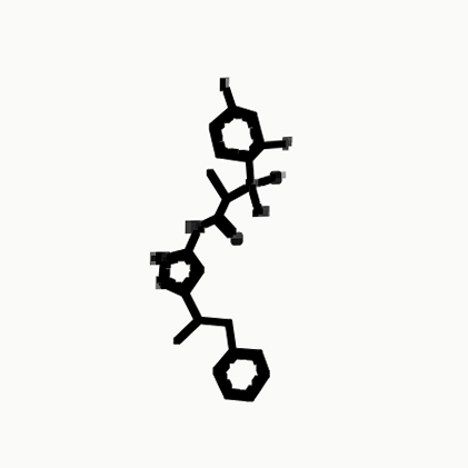 CC(=O)[N+]([O-])(c1ccc(F)cc1F)C(C)C(=O)Nc1cc(C(C)Cc2ccccc2)n[nH]1